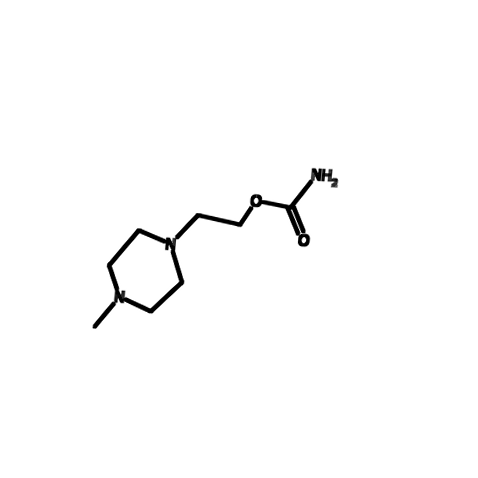 CN1CCN(CCOC(N)=O)CC1